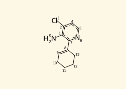 Nc1c(Cl)ccnc1C1=CCCCC1